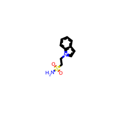 NS(=O)(=O)CCn1ccc2ccccc21